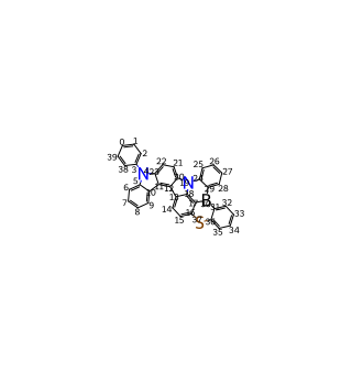 c1ccc(-n2c3ccccc3c3c4c5ccc6c7c5n(c4ccc32)-c2ccccc2B7c2ccccc2S6)cc1